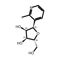 OC[C@H]1O[C@H](c2cccnc2I)[C@H](O)[C@@H]1O